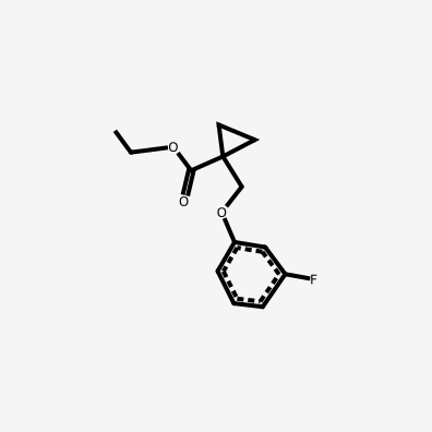 CCOC(=O)C1(COc2cccc(F)c2)CC1